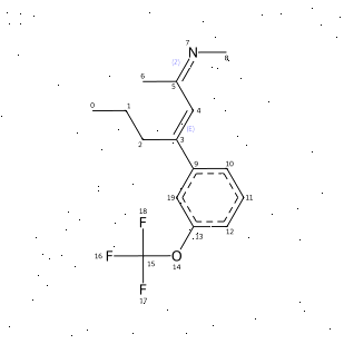 CCC/C(=C\C(C)=N/C)c1cccc(OC(F)(F)F)c1